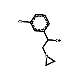 OC(CN1CC1)c1cccc(Cl)c1